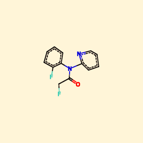 O=C(CF)N(c1ccccn1)c1ccccc1F